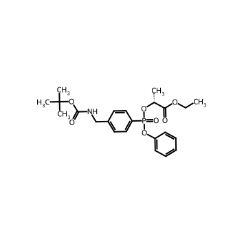 CCOC(=O)[C@@H](C)OP(=O)(Oc1ccccc1)c1ccc(CNC(=O)OC(C)(C)C)cc1